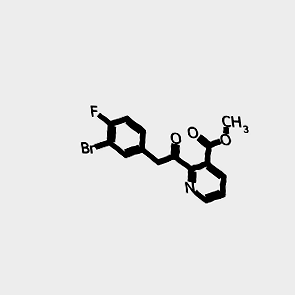 COC(=O)c1cccnc1C(=O)Cc1ccc(F)c(Br)c1